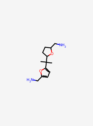 CC(C)(c1ccc(CN)o1)C1CCC(CN)O1